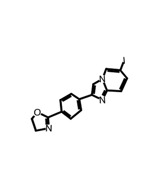 Ic1ccc2nc(-c3ccc(C4=NCCO4)cc3)cn2c1